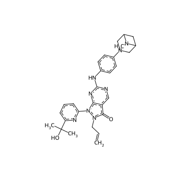 C=CCn1c(=O)c2cnc(Nc3ccc(N4CC5CC(C4)N5C)cc3)nc2n1-c1cccc(C(C)(C)O)n1